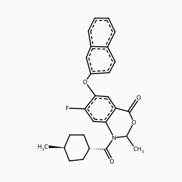 CC1OC(=O)c2cc(Oc3ccc4ccccc4c3)c(F)cc2N1C(=O)[C@H]1CC[C@H](C)CC1